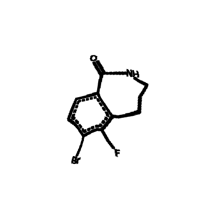 O=C1NCCc2c1ccc(Br)c2F